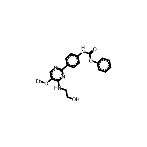 CCOc1cnc(-c2ccc(NC(=O)Oc3ccccc3)cc2)nc1NCCO